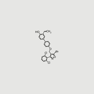 C=Cc1cc(-c2ccc(OCc3c(-c4c(Cl)cccc4Cl)noc3C(C)C)cc2)ccc1O